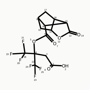 O=C(O)CC(OC(=O)C1C2CC3OC(=O)C1C3C2)(C(F)(F)F)C(F)(F)F